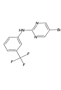 FC(F)(F)c1cccc(Nc2ncc(Br)cn2)c1